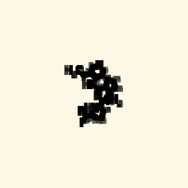 C=Cc1cnccc1N/C(=N/C(=C)C1C=CC=C(C(F)F)N1)c1ccc[nH]1